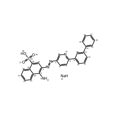 Nc1c(/N=N/c2ccc(-c3cccc(-c4ccccc4)c3)nc2)cc(S(=O)(=O)O)c2ccccc12.[NaH]